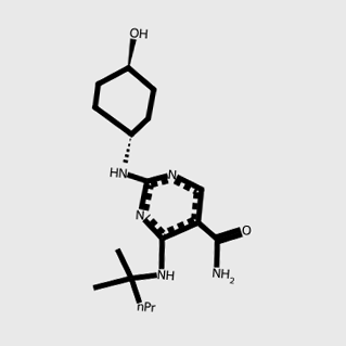 CCCC(C)(C)Nc1nc(N[C@H]2CC[C@H](O)CC2)ncc1C(N)=O